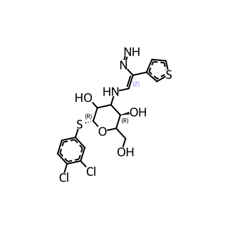 N=N/C(=C\NC1C(O)[C@@H](Sc2ccc(Cl)c(Cl)c2)OC(CO)[C@@H]1O)c1ccsc1